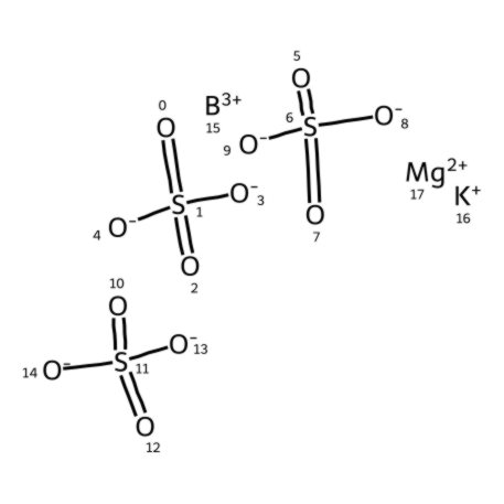 O=S(=O)([O-])[O-].O=S(=O)([O-])[O-].O=S(=O)([O-])[O-].[B+3].[K+].[Mg+2]